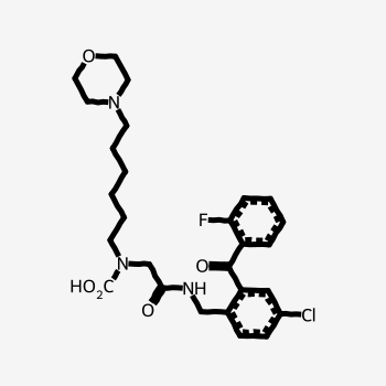 O=C(CN(CCCCCCN1CCOCC1)C(=O)O)NCc1ccc(Cl)cc1C(=O)c1ccccc1F